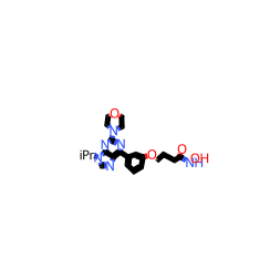 CC(C)n1cnc2c(-c3cccc(OCCCC(=O)NO)c3)nc(N3CCOCC3)nc21